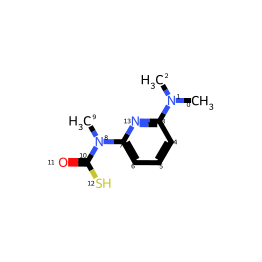 CN(C)c1cccc(N(C)C(=O)S)n1